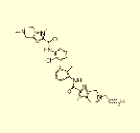 Cc1c(NC(=O)c2nc3c(n2C)CCN(CC(=O)O)C3)cccc1-c1cccc(NC(=O)c2nc3c(n2C)CCN(C)C3)c1Cl